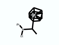 CCN(C(C)C)C(C)[C]12[CH]3[CH]4[CH]5[CH]1[Ru]45321678[CH]2[CH]1[CH]6[CH]7[CH]28